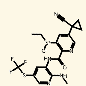 CC[S+]([O-])c1cc(C2(C#N)CC2)cnc1C(=O)Nc1cc(SC(F)(F)F)cnc1NC